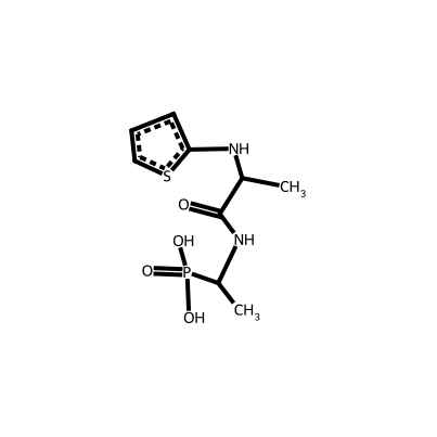 CC(Nc1cccs1)C(=O)NC(C)P(=O)(O)O